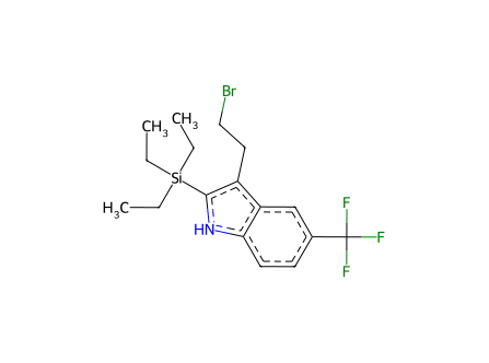 CC[Si](CC)(CC)c1[nH]c2ccc(C(F)(F)F)cc2c1CCBr